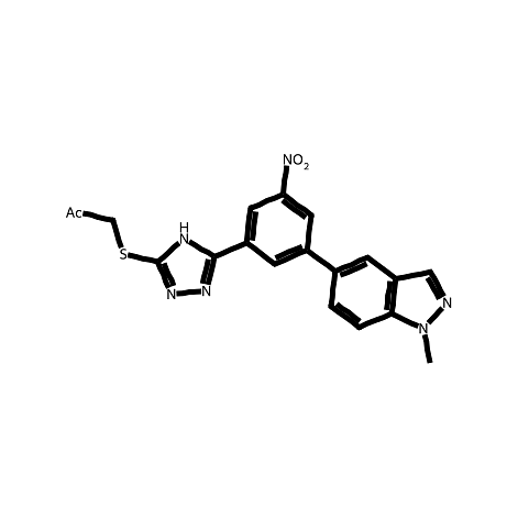 CC(=O)CSc1nnc(-c2cc(-c3ccc4c(cnn4C)c3)cc([N+](=O)[O-])c2)[nH]1